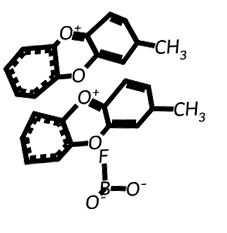 CC1C=CC2=[O+]c3ccccc3OC2=C1.CC1C=CC2=[O+]c3ccccc3OC2=C1.[O-]B([O-])F